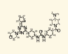 CN(C)C1CCN(C(=O)c2ccc(NC(=O)Nc3ccc(-c4nc(-c5cccs5)nc(N5CCOCC5)n4)cc3)cc2)CC1